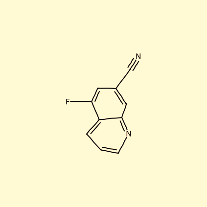 N#Cc1cc(F)c2cccnc2c1